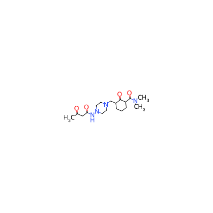 CC(=O)CC(=O)NN1CCN(CC2CCCC(C(=O)N(C)C)C2=O)CC1